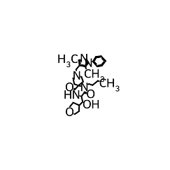 CCCCN1C(=O)[C@@H]([C@H](O)C2CCOCC2)NC(=O)C12CCN(Cc1c(C)nn(-c3ccccc3)c1C)CC2